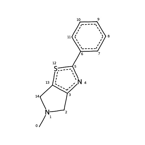 CN1Cc2nc(-c3ccccc3)sc2C1